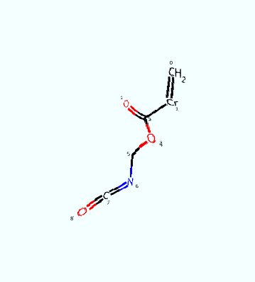 [CH2]=[Cr][C](=O)OCN=C=O